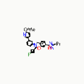 COc1ccc(-c2cccc(N(CC34CCC(c5nc(C(C)C)no5)(CC3)CC4)C(=O)C34CC(F)(C3)C4)c2)cn1